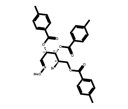 CON=C[C@H](OC(=O)c1ccc(C)cc1)[C@H](OC(=O)c1ccc(C)cc1)[C@H](Br)COC(=O)c1ccc(C)cc1